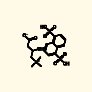 C[N+](C)(C)CC(O)CC(=O)[O-].O=S(=O)(O)c1cccc2c(S(=O)(=O)O)cccc12